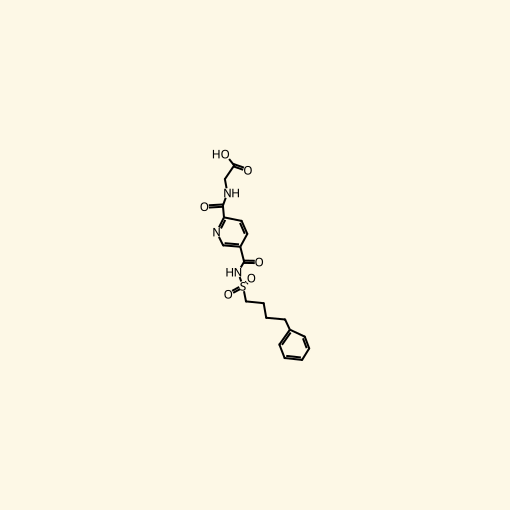 O=C(O)CNC(=O)c1ccc(C(=O)NS(=O)(=O)CCCCc2ccccc2)cn1